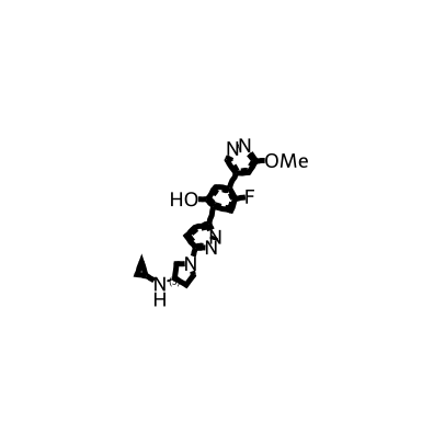 COc1cc(-c2cc(O)c(-c3ccc(N4CC[C@H](NC5CC5)C4)nn3)cc2F)cnn1